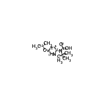 CC(C)Oc1ccc(N(C(=O)O)C(C)(C)C)nc1